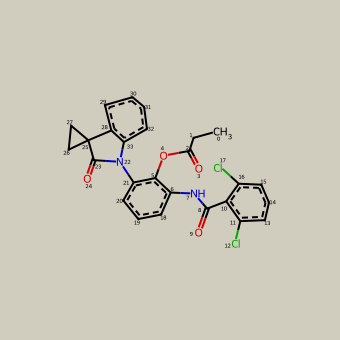 CCC(=O)Oc1c(NC(=O)c2c(Cl)cccc2Cl)cccc1N1C(=O)C2(CC2)c2ccccc21